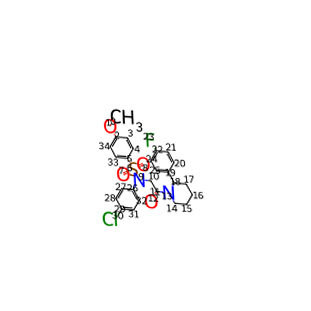 COc1ccc(S(=O)(=O)N(CC(=O)N2CCCCC2c2ccc(F)cc2)c2ccc(Cl)cc2)cc1